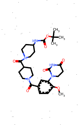 COc1ccc(C(=O)N2CCC(C(=O)N3CCC(NC(=O)OC(C)(C)C)CC3)CC2)cc1N1CCC(=O)NC1=O